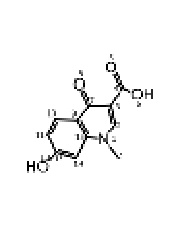 Cn1cc(C(=O)O)c(=O)c2ccc(O)cc21